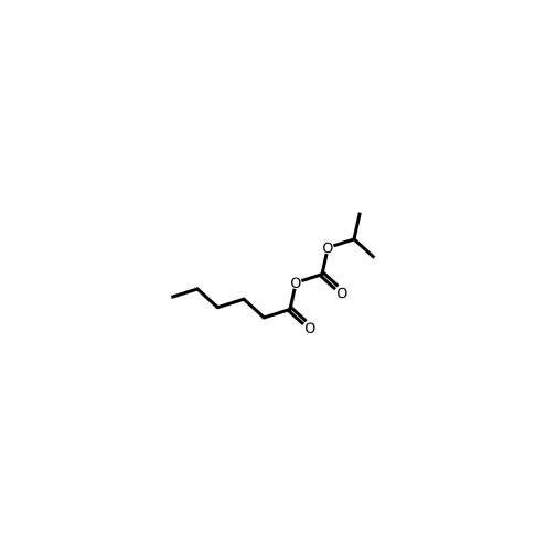 CCCCCC(=O)OC(=O)OC(C)C